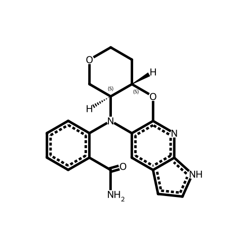 NC(=O)c1ccccc1N1c2cc3cc[nH]c3nc2O[C@H]2CCOC[C@@H]21